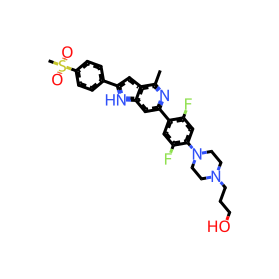 Cc1nc(-c2cc(F)c(N3CCN(CCCO)CC3)cc2F)cc2[nH]c(-c3ccc(S(C)(=O)=O)cc3)cc12